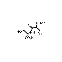 CC(=O)NC(CS)C(=O)N[C@@H](CS)C(=O)O